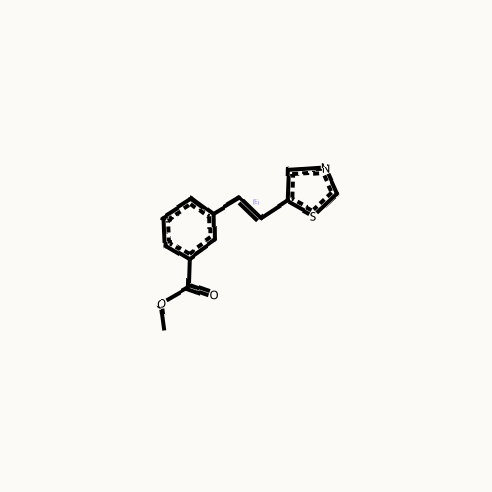 COC(=O)c1cccc(/C=C/c2cncs2)c1